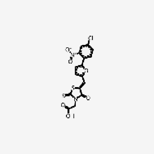 O=C(O)CN1C(=O)/C(=C/c2ccc(-c3ccc(Cl)cc3[N+](=O)[O-])o2)SC1=S